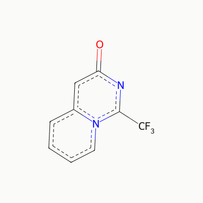 O=c1cc2ccccn2c(C(F)(F)F)n1